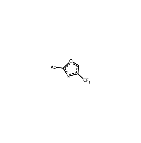 CC(=O)c1nc(C(F)(F)F)co1